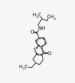 CCC(C)CNC(=O)c1ccc2c(=O)c3c(sc2c1)CC(CC)CC3